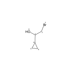 OC(CBr)C1CC1